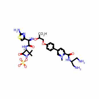 C[n+]1cc(-c2ccc(OCC(O/N=C(\C(=O)N[C@@H]3C(=O)N(OS(=O)(=O)[O-])C3(C)C)c3csc(N)n3)C(=O)O)cc2)ccc1C(=O)NC(CN)CN